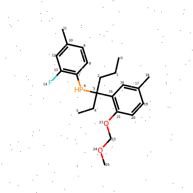 CCCC(CC)(Pc1ccc(C)cc1F)c1cc(C)ccc1OCOC